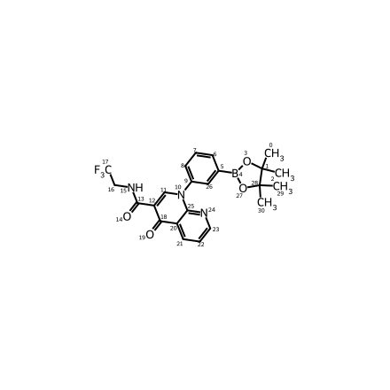 CC1(C)OB(c2cccc(-n3cc(C(=O)NCC(F)(F)F)c(=O)c4cccnc43)c2)OC1(C)C